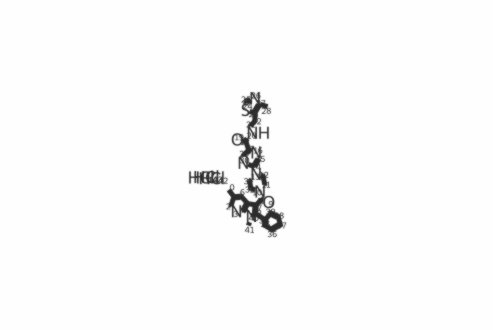 Cc1cnc2c(c1)c(C(=O)N1CCN(c3cnc(C(=O)NCCc4scnc4C)cn3)CC1)c(-c1ccccc1)n2C.Cl.Cl.Cl